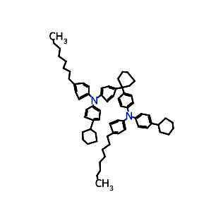 CCCCCCCCc1ccc(N(c2ccc(C3CCCCC3)cc2)c2ccc(C3(c4ccc(N(c5ccc(CCCCCCCC)cc5)c5ccc(C6CCCCC6)cc5)cc4)CCCCC3)cc2)cc1